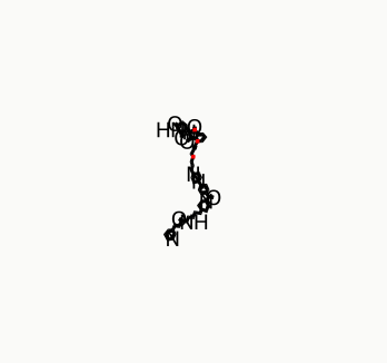 O=C(/C=C/c1cccnc1)NCCCCC1CCN(C(=O)c2ccc(N3CCN(CCCCCC#Cc4cccc5c4C(=O)N(C4CCC(=O)NC4=O)C5=O)CC3)cc2)CC1